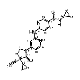 N#C[C@@]1(C2CC2)CCN(c2ccnc(Nc3ccc(C(=O)NC4CC4)cn3)c2)C1=O